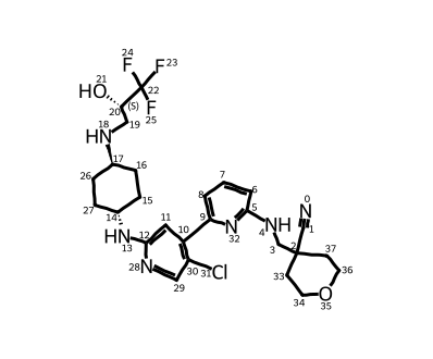 N#CC1(CNc2cccc(-c3cc(N[C@H]4CC[C@H](NC[C@H](O)C(F)(F)F)CC4)ncc3Cl)n2)CCOCC1